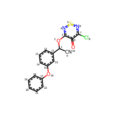 N#CC(Oc1nsnc(Cl)c1=O)c1cccc(Oc2ccccc2)c1